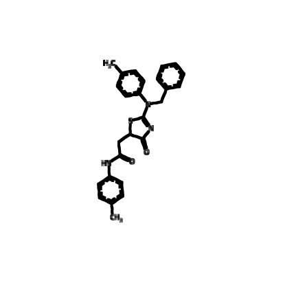 Cc1ccc(NC(=O)CC2SC(N(Cc3ccccc3)c3ccc(C)cc3)=NC2=O)cc1